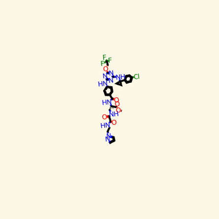 COC(=O)[C@H](CNC(=O)C(=O)NCCn1cccn1)NC(=O)c1ccc(Nc2nc(NC3(c4ccc(Cl)cc4)CC3)nc(OCC(F)(F)F)n2)cc1